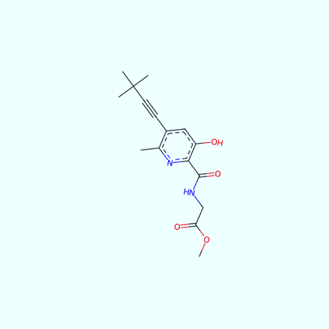 COC(=O)CNC(=O)c1nc(C)c(C#CC(C)(C)C)cc1O